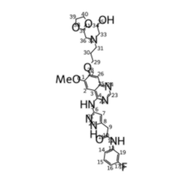 COc1cc2c(Nc3cc(CC(=O)Nc4cccc(F)c4)[nH]n3)ncnc2cc1OCCCN(CCO)CC1OCCO1